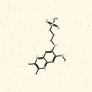 COc1cc2nc(C)c(C)nc2cc1OCCCS(=O)(=O)O